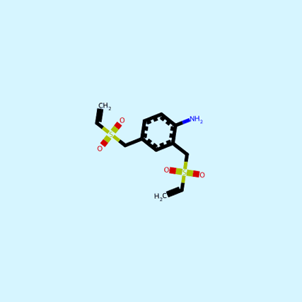 C=CS(=O)(=O)Cc1ccc(N)c(CS(=O)(=O)C=C)c1